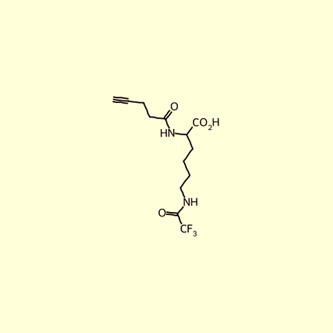 C#CCCC(=O)NC(CCCCNC(=O)C(F)(F)F)C(=O)O